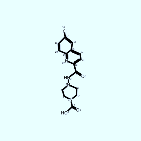 O=C(NN1CCN(C(=O)O)CC1)c1ccc2cc(Cl)ccc2n1